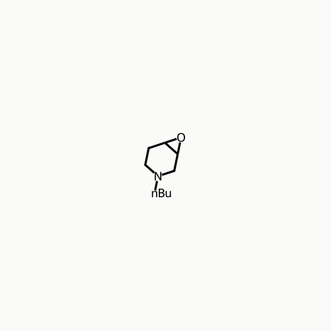 CCCCN1CCC2OC2C1